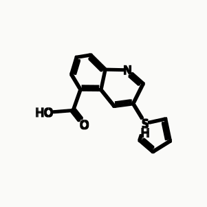 O=C(O)c1cccc2ncc([SH]3C=CC=C3)cc12